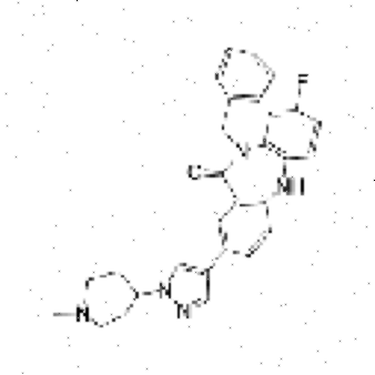 CN1CCC(n2cc(-c3ccc4c(c3)C(=O)N(Cc3ccccc3)c3cc(F)ccc3N4)cn2)CC1